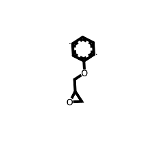 [c]1cc[c]c(OCC2CO2)c1